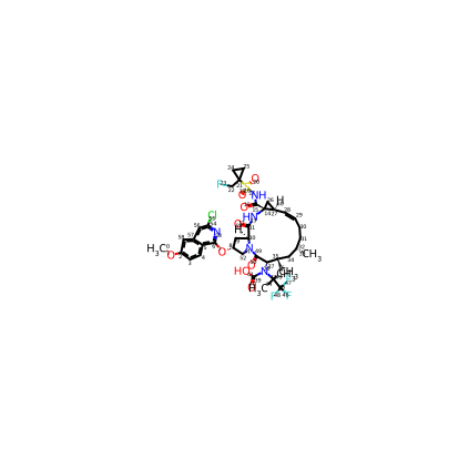 COc1ccc2c(O[C@@H]3C[C@H]4C(=O)N[C@]5(C(=O)NS(=O)(=O)C6(CF)CC6)C[C@H]5C=CCC[C@H](C)C[C@@H](C)[C@H](N(C(=O)O)C(C)(C)C(F)(F)F)C(=O)N4C3)nc(Cl)cc2c1